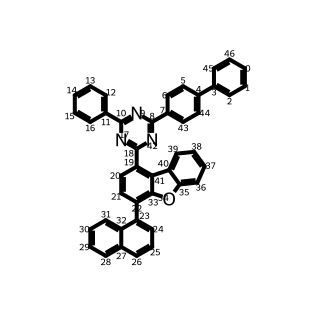 c1ccc(-c2ccc(-c3nc(-c4ccccc4)nc(-c4ccc(-c5cccc6ccccc56)c5oc6ccccc6c45)n3)cc2)cc1